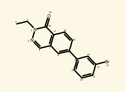 CCn1ncc2cc(-c3cccc(Br)c3)ccc2c1=O